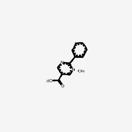 Cl.O=C(O)c1cnc(-c2ccccc2)nc1